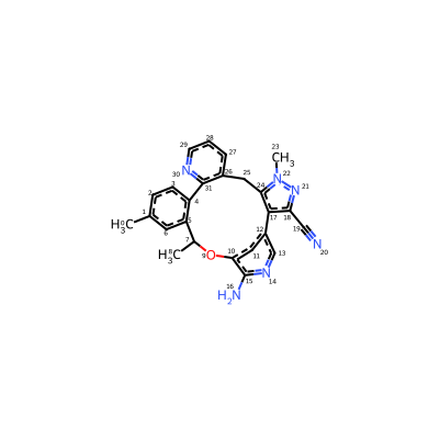 Cc1ccc2c(c1)C(C)Oc1cc(cnc1N)-c1c(C#N)nn(C)c1Cc1cccnc1-2